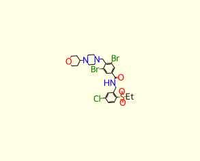 CCS(=O)(=O)c1ccc(Cl)cc1CNC(=O)c1cc(Br)c(CN2CCN(C3CCOCC3)CC2)c(Br)c1